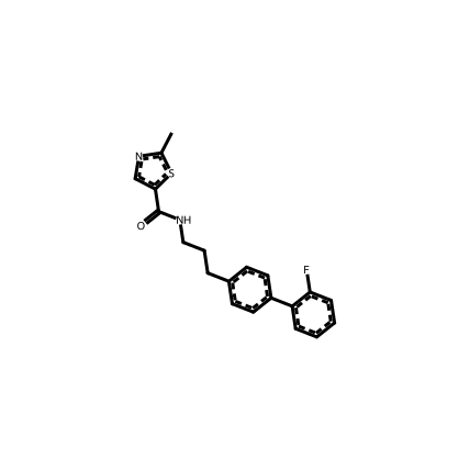 Cc1ncc(C(=O)NCCCc2ccc(-c3ccccc3F)cc2)s1